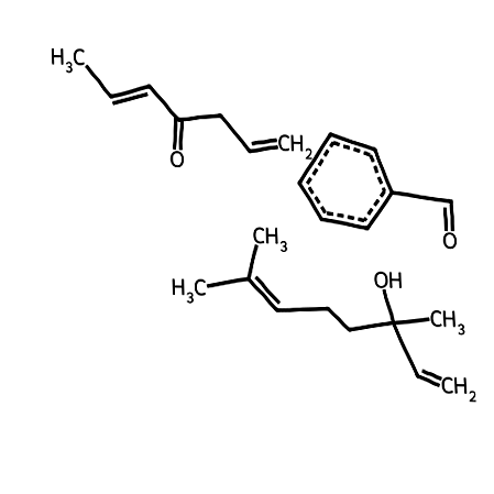 C=CC(C)(O)CCC=C(C)C.C=CCC(=O)C=CC.O=Cc1ccccc1